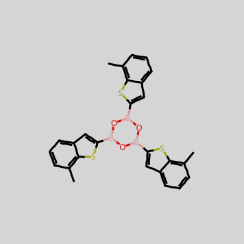 Cc1cccc2cc(B3OB(c4cc5cccc(C)c5s4)OB(c4cc5cccc(C)c5s4)O3)sc12